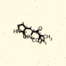 C=C(C)C(=O)[C@H](CC1CCNC1=O)NC(=O)O